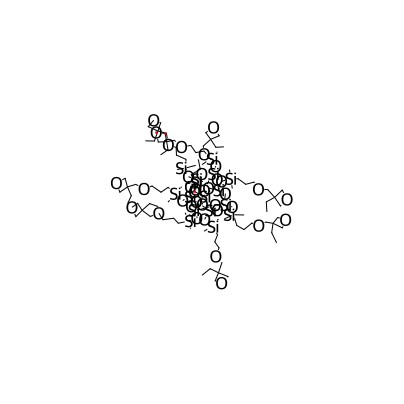 CCC1(COCCC[Si](C)(C)O[Si]23O[Si]4(O[Si](C)(C)CCCOCC5(CC)COC5)O[Si]5(O[Si](C)(C)CCCOCC6(CC)COC6)O[Si](O[Si](C)(C)CCCOCC6(CC)COC6)(O2)O[Si]2(O[Si](C)(C)CCCOCC6(CC)COC6)O[Si](O[Si](C)(C)CCCOCC6(CC)COC6)(O3)O[Si](O[Si](C)(C)CCCOCC3(CC)COC3)(O4)O[Si](O[Si](C)(C)CCCOCC3(CC)COC3)(O5)O2)COC1